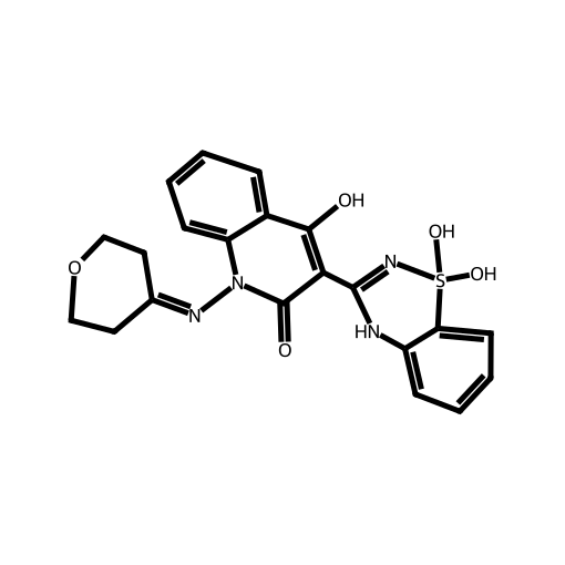 O=c1c(C2=NS(O)(O)c3ccccc3N2)c(O)c2ccccc2n1N=C1CCOCC1